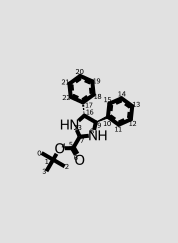 CC(C)(C)OC(=O)C1N[C@H](c2ccccc2)[C@@H](c2ccccc2)N1